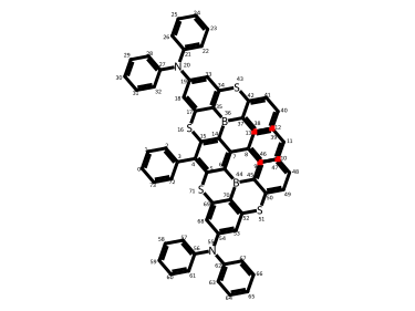 c1ccc(-c2c3c(c(-c4ccccc4)c4c2Sc2cc(N(c5ccccc5)c5ccccc5)cc5c2B4c2ccccc2S5)B2c4ccccc4Sc4cc(N(c5ccccc5)c5ccccc5)cc(c42)S3)cc1